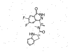 C[C@H](c1n[nH]c(=O)c2cc(F)c(F)cc12)N(C)C(=O)[C@@H]1Cc2ccccc2N1